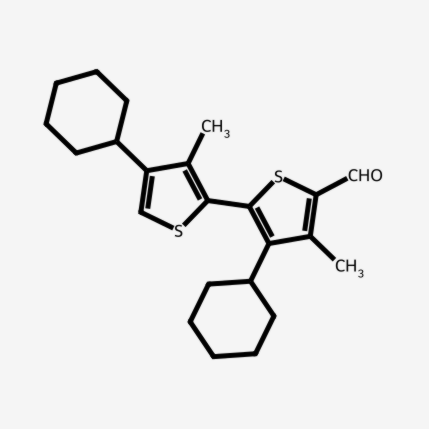 Cc1c(C2CCCCC2)csc1-c1sc(C=O)c(C)c1C1CCCCC1